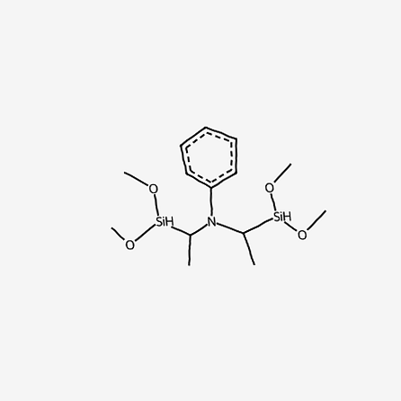 CO[SiH](OC)C(C)N(c1ccccc1)C(C)[SiH](OC)OC